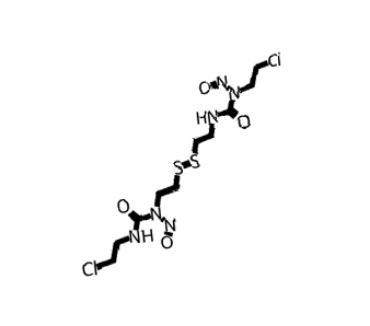 O=NN(CCCl)C(=O)NCCSSCCN(N=O)C(=O)NCCCl